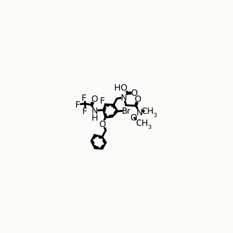 CON(C)C(=O)CN(Cc1c(Br)cc(OCc2ccccc2)c(NC(=O)C(F)(F)F)c1F)C(=O)O